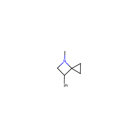 CC(C)C1CN(C)C12CC2